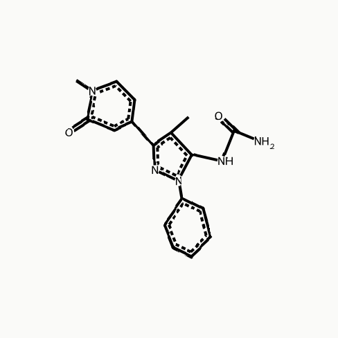 Cc1c(-c2ccn(C)c(=O)c2)nn(-c2ccccc2)c1NC(N)=O